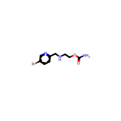 NC(=O)OCCNCc1ccc(Br)cn1